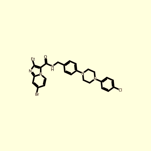 CCc1nc2cc(Br)ccn2c1C(=O)NCc1ccc(N2CCN(c3ccc(Cl)cc3)CC2)cc1